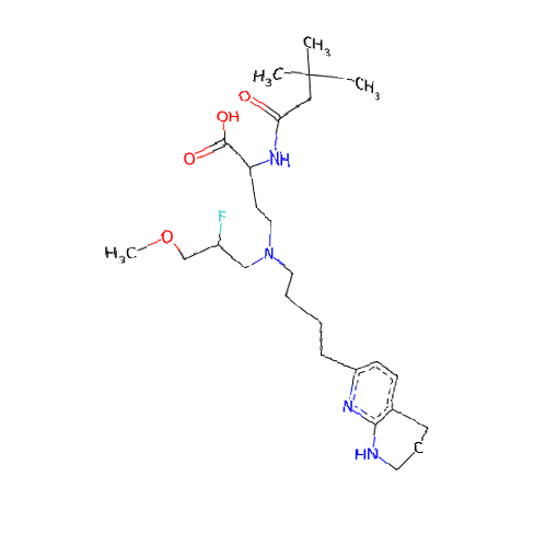 COCC(F)CN(CCCCc1ccc2c(n1)NCCC2)CCC(NC(=O)CC(C)(C)C)C(=O)O